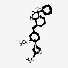 COc1cc(/C=C2\CCCN3C2=NOC3(C)c2ccccc2)ccc1-n1cnc(C)c1